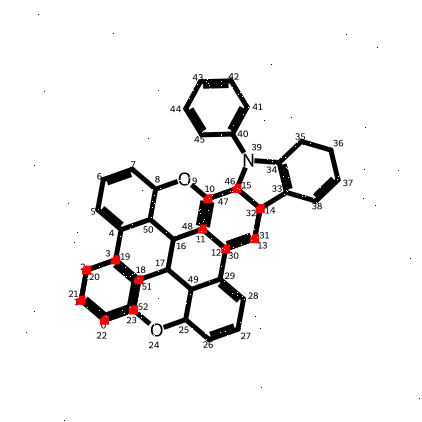 C1=CCC(C2=CC=CC3OC4=C(C=CCC4)C(C4C5=CCCC=C5OC5C=CC=C(C6=CC7C8=C(CCC=C8)N(c8ccccc8)C7C=C6)C54)C23)C=C1